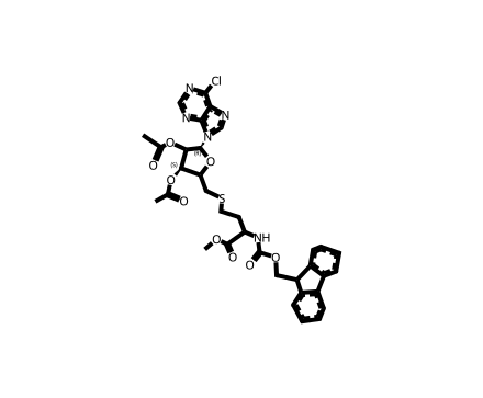 COC(=O)C(CCSCC1O[C@@H](n2cnc3c(Cl)ncnc32)C(OC(C)=O)[C@@H]1OC(C)=O)NC(=O)OCC1c2ccccc2-c2ccccc21